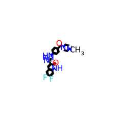 CN1CCN(C(=O)c2ccc(N/C=C(\N=N)c3cc4cc(F)c(F)cc4[nH]c3=O)cc2)CC1